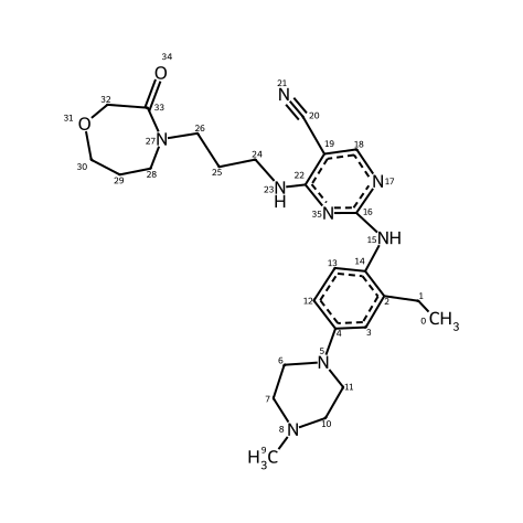 CCc1cc(N2CCN(C)CC2)ccc1Nc1ncc(C#N)c(NCCCN2CCCOCC2=O)n1